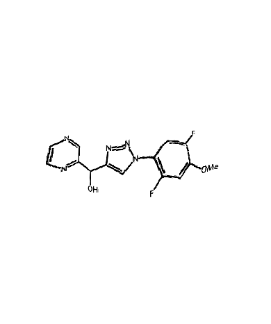 COc1cc(F)c(-n2cc(C(O)c3cnccn3)nn2)cc1F